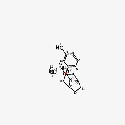 Cl.Cl.N#Cc1cccc(CN2C3CCC2CC(N)C3)c1